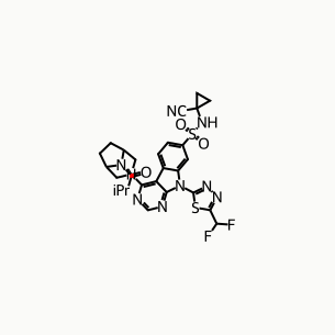 CC(C)C(=O)N1C2CCC1CN(c1ncnc3c1c1ccc(S(=O)(=O)NC4(C#N)CC4)cc1n3-c1nnc(C(F)F)s1)C2